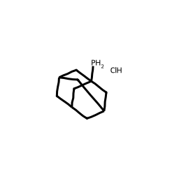 Cl.PC12CC3CC(CC(C3)C1)C2